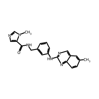 Cc1ccc2nc(Nc3cccc(CNC(=O)c4cncn4C)c3)ncc2c1